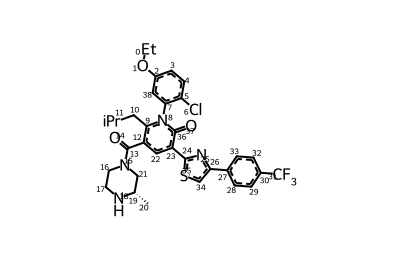 CCOc1ccc(Cl)c(-n2c(CC(C)C)c(C(=O)N3CCN[C@@H](C)C3)cc(-c3nc(-c4ccc(C(F)(F)F)cc4)cs3)c2=O)c1